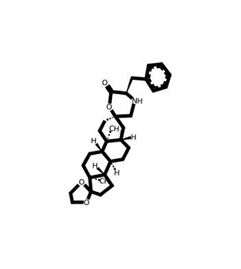 C[C@]12CC[C@]3(CN[C@H](Cc4ccccc4)C(=O)O3)C[C@@H]1CC[C@@H]1[C@@H]2CC[C@@]2(C)[C@H]1CCC21OCCO1